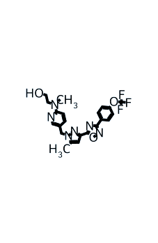 Cc1cc(-c2nc(-c3ccc(OC(F)(F)F)cc3)no2)nn1Cc1ccc(N(C)CCO)nc1